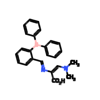 CN(C)C=C(N=Cc1ccccc1B(c1ccccc1)c1ccccc1)C(=O)O